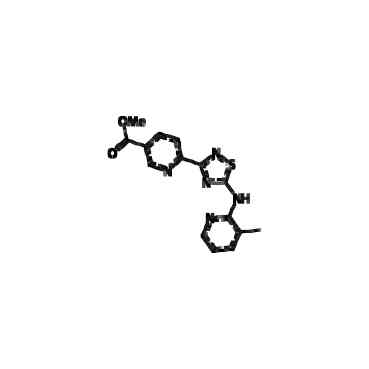 COC(=O)c1ccc(-c2nsc(Nc3ncccc3C)n2)nc1